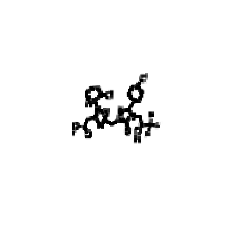 COC(=O)Cc1nc(Cn2nc(-c3ccc(Cl)cc3)n(C[C@H](O)C(F)(F)F)c2=O)nn1-c1ncccc1Cl